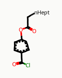 CCCCCCCCC(=O)Oc1ccc(C(=O)Cl)cc1